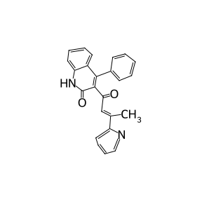 C/C(=C\C(=O)c1c(-c2ccccc2)c2ccccc2[nH]c1=O)c1ccccn1